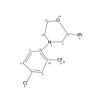 CC(C)C1CN(c2ccc(Cl)cc2C(F)(F)F)CCO1